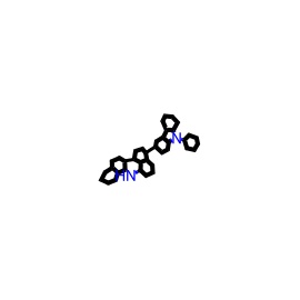 c1ccc(-n2c3ccccc3c3cc(-c4ccc5c6c(cccc46)Nc4c-5ccc5ccccc45)ccc32)cc1